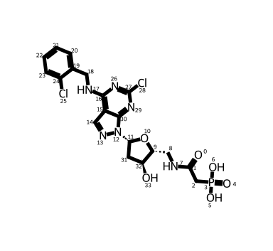 O=C(CP(=O)(O)O)NC[C@H]1O[C@@H](n2ncc3c(NCc4ccccc4Cl)nc(Cl)nc32)C[C@@H]1O